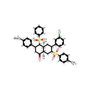 COc1ccc(C2CC(=O)[C@@H]3CC(S(=O)(=O)c4ccc(C)cc4)C(c4cccc(Cl)c4)C[C@@H]3C2S(=O)(=O)c2ccccc2)cc1